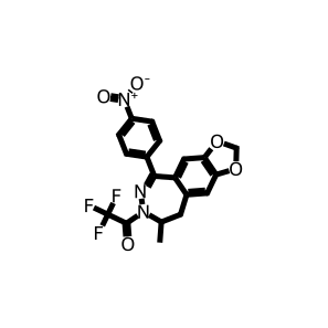 CC1Cc2cc3c(cc2C(c2ccc([N+](=O)[O-])cc2)=NN1C(=O)C(F)(F)F)OCO3